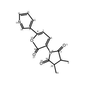 CC1C(=O)N(c2ccc(-c3cccnc3)oc2=O)C(=O)C1C